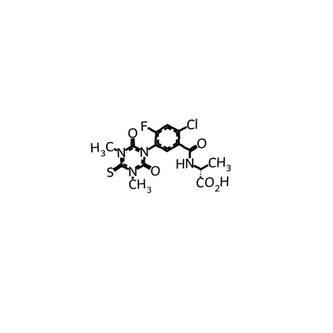 C[C@@H](NC(=O)c1cc(-n2c(=O)n(C)c(=S)n(C)c2=O)c(F)cc1Cl)C(=O)O